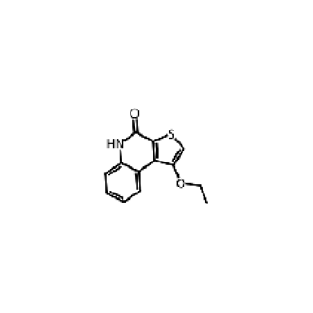 CCOc1csc2c(=O)[nH]c3ccccc3c12